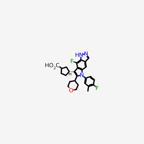 Cc1cc(-n2c(C3CCOCC3)c([C@@H]3CCC(C(=O)O)C3)c3c(F)c4[nH]ncc4cc32)ccc1F